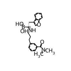 CN(C)C(=O)c1cccc(CCCN[C@@H](Cc2coc3ccccc23)B(O)O)c1